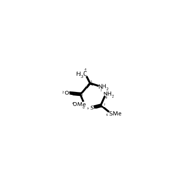 COC(=O)C(C)N.CSC(N)=S